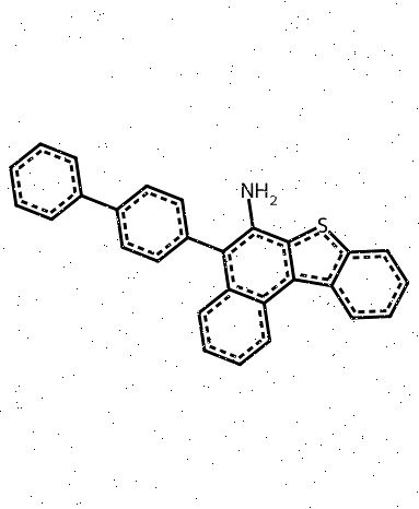 Nc1c(-c2ccc(-c3ccccc3)cc2)c2ccccc2c2c1sc1ccccc12